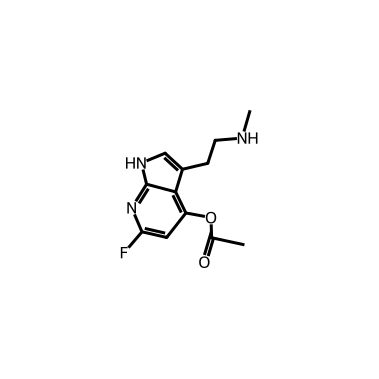 CNCCc1c[nH]c2nc(F)cc(OC(C)=O)c12